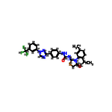 Cc1ccc(C(C)C)c(N2C(=O)CS/C2=N\C(=O)Nc2ccc(-c3ncn(-c4cccc(C(F)(F)F)c4)n3)cc2)c1